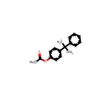 COC(=O)Oc1ccc(C(C)(C)c2ccccc2)cc1